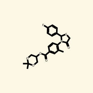 Cc1cc(C(=O)OC2COC(C)(C)OC2)ccc1N1C(=O)CSC1c1ccc(F)cc1